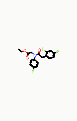 CCOC(=O)CN(C(=O)Cc1ccc(F)cc1F)c1ccc(F)cc1